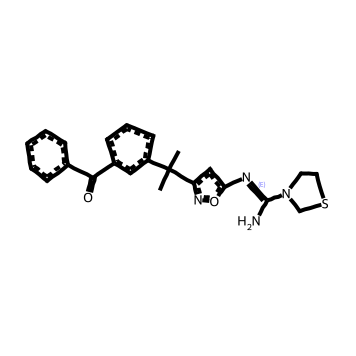 CC(C)(c1cccc(C(=O)c2ccccc2)c1)c1cc(/N=C(\N)N2CCSC2)on1